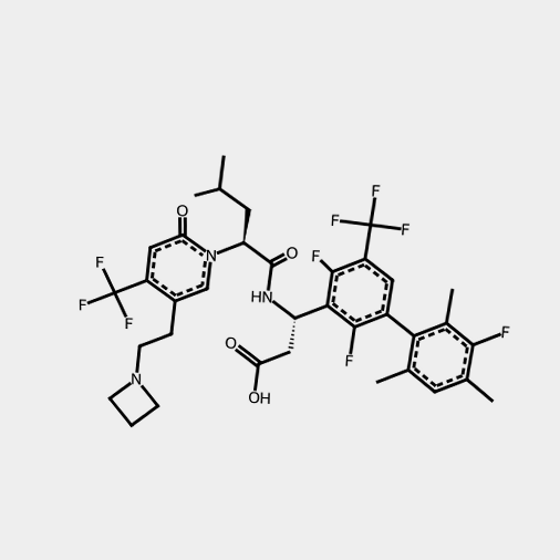 Cc1cc(C)c(-c2cc(C(F)(F)F)c(F)c([C@H](CC(=O)O)NC(=O)[C@H](CC(C)C)n3cc(CCN4CCC4)c(C(F)(F)F)cc3=O)c2F)c(C)c1F